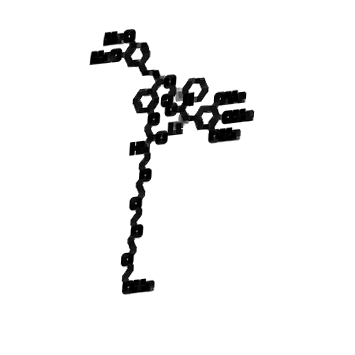 CC[C@H](C(=O)N1CCCC[C@H]1C(=O)O[C@H](CCc1ccc(OC)c(OC)c1)c1cccc(OCC(=O)NCCOCCOCCOCCOCCOC)c1)c1cc(OC)c(OC)c(OC)c1